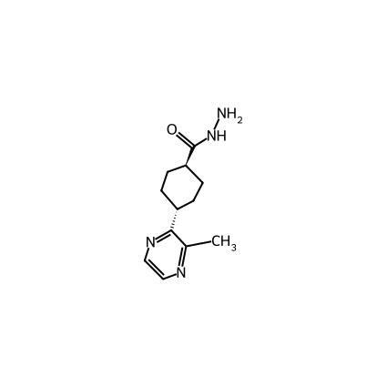 Cc1nccnc1[C@H]1CC[C@H](C(=O)NN)CC1